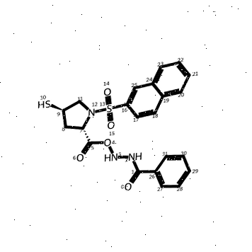 O=C(NNOC(=O)[C@@H]1C[C@@H](S)CN1S(=O)(=O)c1ccc2ccccc2c1)c1ccccc1